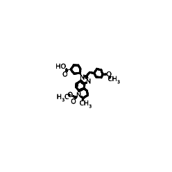 COC(=O)N1c2ccc3c(nc(CC4CCC(OC)CC4)n3[C@@H]3CCC[C@@H](C(=O)O)C3)c2CCC1C